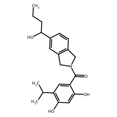 CCCC(O)c1ccc2c(c1)CN(C(=O)c1cc(C(C)C)c(O)cc1O)C2